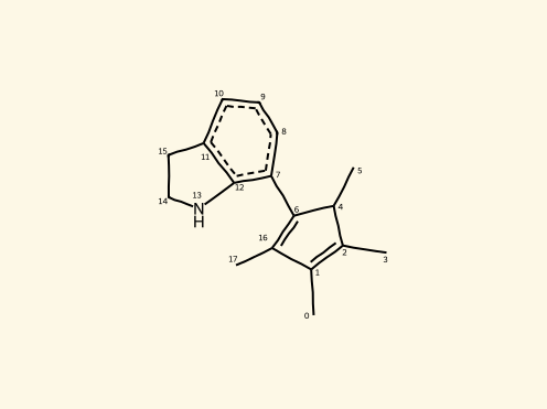 CC1=C(C)C(C)C(c2cccc3c2NCC3)=C1C